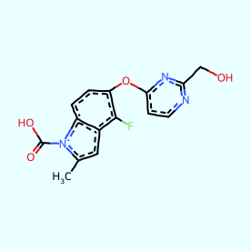 Cc1cc2c(F)c(Oc3ccnc(CO)n3)ccc2n1C(=O)O